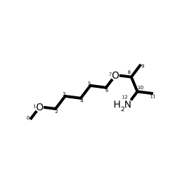 COCCCCCOC(C)C(C)N